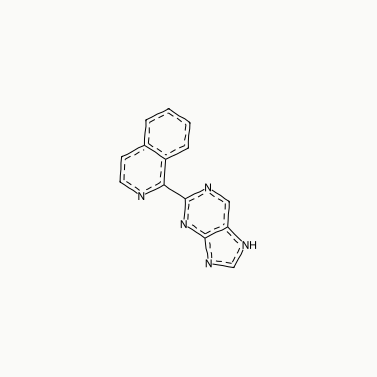 c1ccc2c(-c3ncc4[nH]cnc4n3)nccc2c1